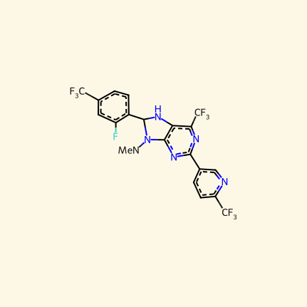 CNN1c2nc(-c3ccc(C(F)(F)F)nc3)nc(C(F)(F)F)c2NC1c1ccc(C(F)(F)F)cc1F